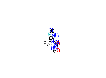 CN1CC[C@@H](Nc2cccc3c2cc(-c2noc(CNC(=O)[C@@H]4CC4(C)C)n2)n3CC(F)(F)F)[C@@H](F)C1